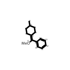 COC(=C1CCC(C)CC1)c1ccccc1